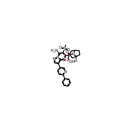 C[C@@H](O)C(=O)N1C2CC[C@@H]1CC(c1nc3c(-c4ccc(-c5ccccc5)nc4)cnn3c(N)c1S(C)(=O)=O)C2